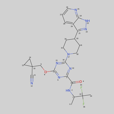 CC(NC(=O)c1nc(OCC2(C#N)CC2)nc(N2CCC(c3n[nH]c4ncccc34)CC2)n1)C(C)(F)F